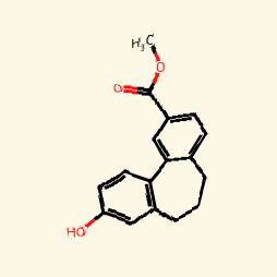 COC(=O)c1ccc2c(c1)-c1ccc(O)cc1CCC2